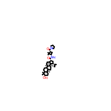 C=C(C)[C@@H]1C[C@@H](C(=O)N[C@H]2C[C@@H](C(=O)N3CCCC3)C2(C)C)C2CC[C@]3(C)[C@H](CC[C@@H]4[C@@]5(C)CC[C@H](O)C(C)(C)C5CC[C@]43C)[C@H]21